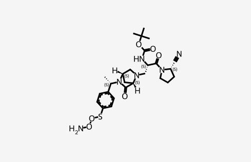 C[C@@H](c1ccc(SOON)cc1)N1C(=O)[C@@H]2C[C@H]1CN2C[C@H](NC(=O)OC(C)(C)C)C(=O)N1CCC[C@H]1C#N